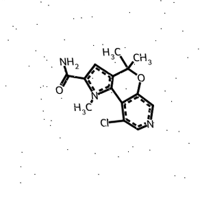 Cn1c(C(N)=O)cc2c1-c1c(Cl)cncc1OC2(C)C